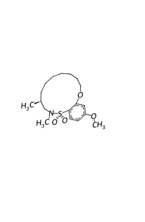 COc1ccc2c(c1)OCCCCCCC[C@H](C)CN(C)S2(=O)=O